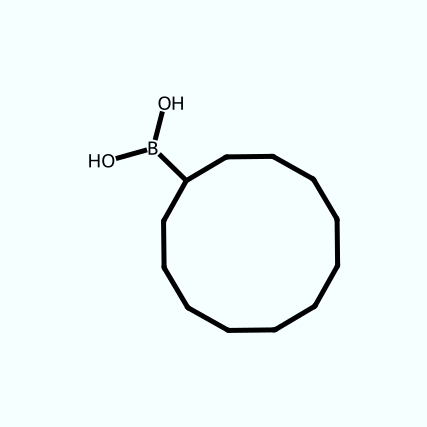 OB(O)C1CCCCCCCCCCC1